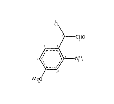 COc1ccc(C(Cl)C=O)c(N)c1